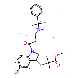 COC(=O)C(C)(C)CC1CN(C(=O)CCNC(C)(C)c2ccccc2)c2ccc(Cl)cc21